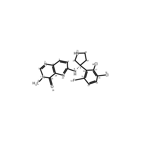 Cn1cnc2ccc(N[C@@]3(c4c(F)ccc(Cl)c4Cl)CCNC3)nc2c1=O